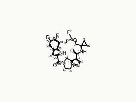 O=C(NC1(COC(F)F)CC1)c1cnn2c1CN(C(=O)c1cc3cc(F)c(F)cc3[nH]1)CC2